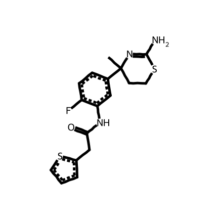 CC1(c2ccc(F)c(NC(=O)Cc3cccs3)c2)CCSC(N)=N1